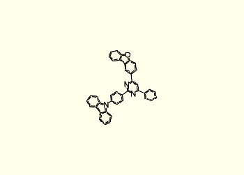 c1ccc(-c2cc(-c3ccc4oc5ccccc5c4c3)nc(-c3ccc(-n4c5ccccc5c5ccccc54)cc3)n2)cc1